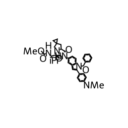 CNc1ccc2c(c1)OC(c1ccccc1)n1c-2cc2cc(NC(=O)C3CC4(CC4)CN3C(=O)C(NC(=O)OC)C(C)C)ccc21